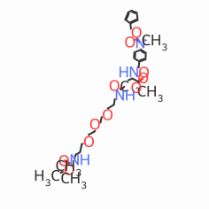 COC(=O)C(CCC(=O)NCCCOCCOCCOCCCNC(=O)OC(C)(C)C)NC(=O)c1ccc(N(C)C(=O)OCc2ccccc2)cc1